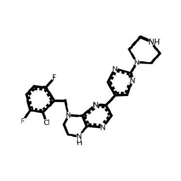 Fc1ccc(F)c(CN2CCNc3ncc(-c4cnc(N5CCNCC5)nc4)nc32)c1Cl